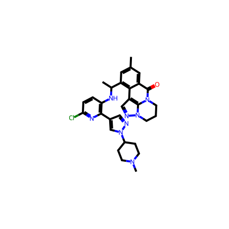 Cc1cc(C(C)Nc2ccc(Cl)nc2-c2cnn(C3CCN(C)CC3)c2)c2c(c1)c(=O)n1c3c2cnn3CCC1